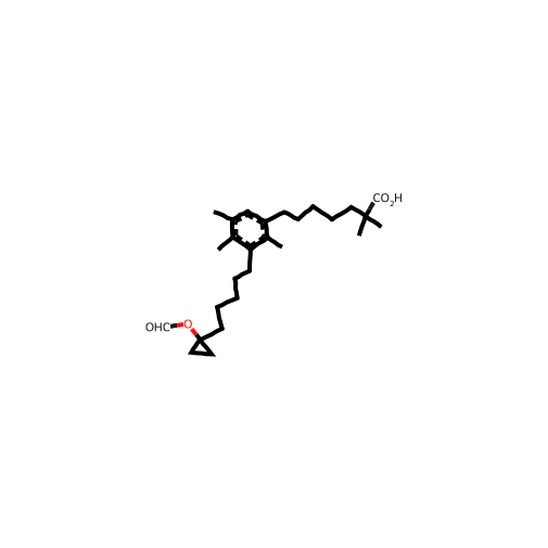 Cc1cc(CCCCCC(C)(C)C(=O)O)c(C)c(CCCCCC2(OC=O)CC2)c1C